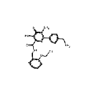 CCOc1ccccc1CNC(=O)c1nc(-c2ccc(CN)cc2)n(C)c(=O)c1O